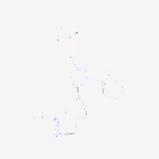 CCCn1ncc2ccc(-c3cc(CO[C@](C)(CC)C(=O)O)nn3-c3ccccc3Br)cc21